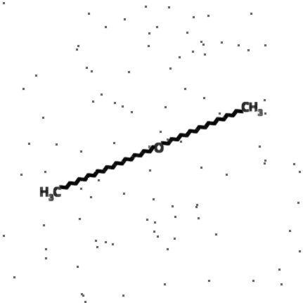 CCCCCCCCCCCCCCCCCCCCC[CH]OCCCCCCCCCCCCCCCCCCC